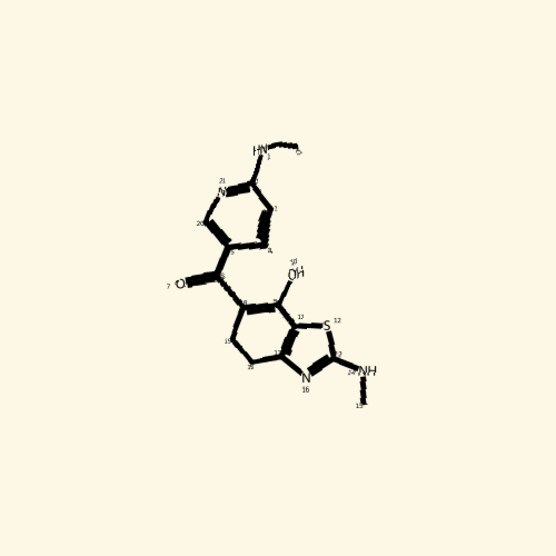 CNc1ccc(C(=O)C2=C(O)c3sc(NC)nc3CC2)cn1